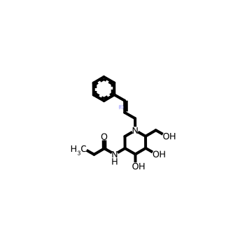 CCC(=O)NC1CN(C/C=C/c2ccccc2)C(CO)C(O)C1O